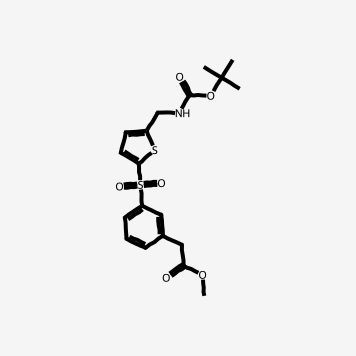 COC(=O)Cc1cccc(S(=O)(=O)c2ccc(CNC(=O)OC(C)(C)C)s2)c1